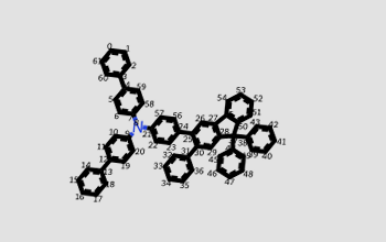 c1ccc(-c2ccc(N(c3ccc(-c4ccccc4)cc3)c3ccc(-c4cc5c(cc4-c4ccccc4)C(c4ccccc4)(c4ccccc4)c4ccccc4-5)cc3)cc2)cc1